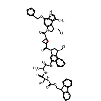 Cc1c[nH]c2c(OCc3ccccc3)cc3c(c12)[C@H](CCl)CN3C(=O)C12CC(C(=O)N3C[C@@H](CCl)c4c3cc(NC(=O)[C@H](C)NC(=O)C(NC(=O)OCC3c5ccccc5-c5ccccc53)C(C)C)c3ccccc43)(C1)C2